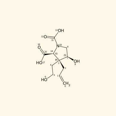 C=CC[C@]1(CCO)[C@H](O)CN(C(=O)O)[C@@H]1C(=O)O